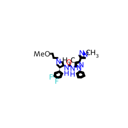 COCCCN1C[C@@H](NC(=O)Nc2c(C)c(-c3cnn(C)c3)nn2-c2ccccc2)[C@H](c2ccc(F)c(F)c2)C1